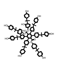 CC(C)(c1ccc(O)cc1)c1ccc(OC(=O)c2c(-c3ccc(C(C)(C)c4ccc(O)cc4)cc3)c(-c3ccc(C(C)(C)c4ccc(O)cc4)cc3)c(C(O)(Oc3ccc(C(C)(C)c4ccc(O)cc4)cc3)Oc3ccc(C(C)(C)c4ccc(O)cc4)c(O)c3)c(-c3ccc(C(C)(C)c4ccc(O)cc4)cc3)c2-c2ccc(C(C)(C)c3ccc(O)cc3)cc2)cc1